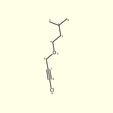 CC(C)CCOCC#CCl